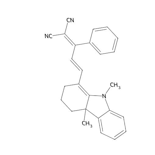 CN1C2=C(/C=C/C(=C(C#N)C#N)c3ccccc3)CCCC2(C)c2ccccc21